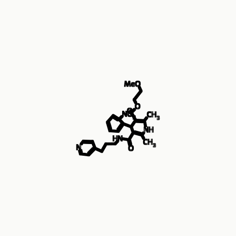 COCCOC(=O)C1=C(C)NC(C)=C(C(=O)NCCCc2ccncc2)C1c1ccccc1[N+](=O)[O-]